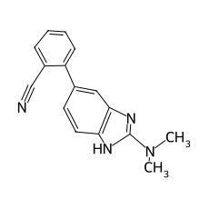 CN(C)c1nc2cc(-c3ccccc3C#N)ccc2[nH]1